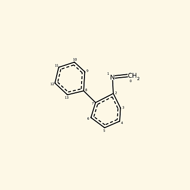 C=Nc1ccccc1-c1ccccc1